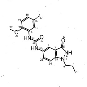 CCCn1[nH]c(=O)c2cc(NC(=O)Nc3cc(C)ccc3OC)ccc21